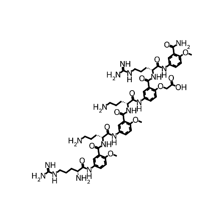 COc1ccc(NC(=O)[C@@H](CCCNC(=N)N)NC(=O)c2cc(NC(=O)[C@@H](CCCN)NC(=O)c3cc(NC(=O)[C@@H](CCCN)NC(=O)c4cc(NC(=O)[C@H](N)CCCNC(=N)N)ccc4OC)ccc3OC)ccc2OCC(=O)O)cc1C(N)=O